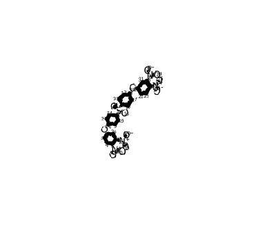 O=[N+]([O-])c1ccc(Oc2ccc(S(=O)(=O)c3ccc(Oc4ccc([N+](=O)[O-])c([N+](=O)[O-])c4)cc3)cc2)cc1[N+](=O)[O-]